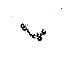 COC(=O)[C@@H](c1cc(F)ccc1COC1CCOCC1)N1CC[C@@H](C(F)(I)CCCCc2ccc3c(n2)NCCC3)C1